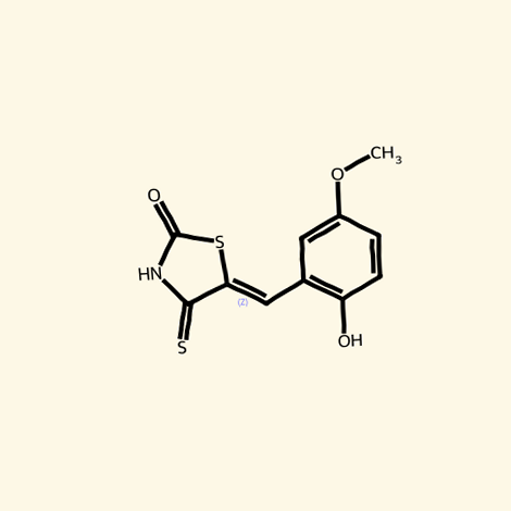 COc1ccc(O)c(/C=C2\SC(=O)NC2=S)c1